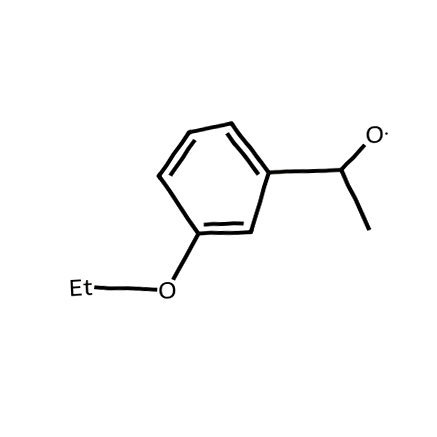 CCOc1cccc(C(C)[O])c1